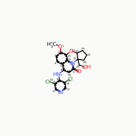 COc1ccc2c(Nc3c(Cl)cncc3Cl)cc(=O)n3c2c1OC1CCCC13CO